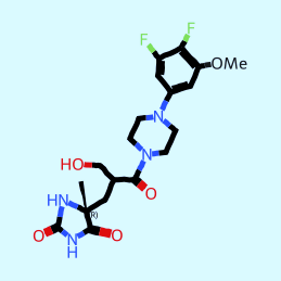 COc1cc(N2CCN(C(=O)C(CO)C[C@@]3(C)NC(=O)NC3=O)CC2)cc(F)c1F